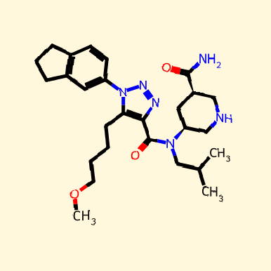 COCCCCc1c(C(=O)N(CC(C)C)[C@@H]2CNC[C@H](C(N)=O)C2)nnn1-c1ccc2c(c1)CCC2